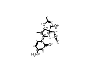 CC(=O)O[C@H]1[C@H](C)[C@H](n2ccc(N)nc2=O)O[C@@]1(CO)N=[N+]=[N-]